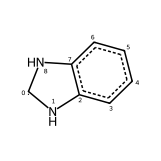 [CH]1Nc2ccccc2N1